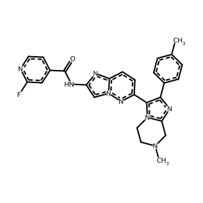 Cc1ccc(-c2nc3n(c2-c2ccc4nc(NC(=O)c5ccnc(F)c5)cn4n2)CCN(C)C3)cc1